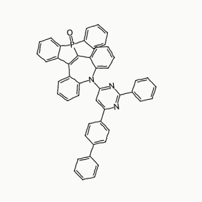 O=P1(c2ccccc2)C2=C(c3ccccc3N(c3cc(-c4ccc(-c5ccccc5)cc4)nc(-c4ccccc4)n3)c3ccccc32)c2ccccc21